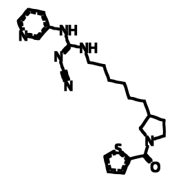 N#CN=C(NCCCCCCC1CCN(C(=O)c2cccs2)C1)Nc1cccnc1